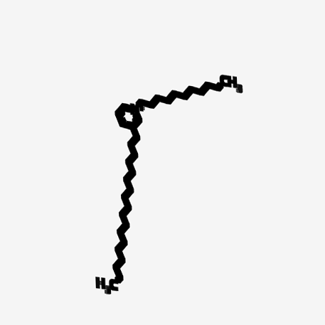 CCCCCCCCCCCCCCCCCCc1ccc[n+](CCCCCCCCCCC)c1